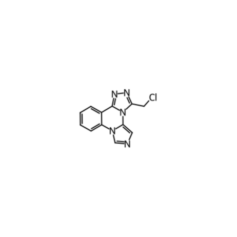 ClCc1nnc2c3ccccc3n3cncc3n12